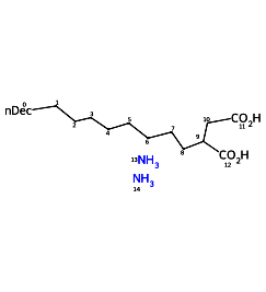 CCCCCCCCCCCCCCCCCCC(CC(=O)O)C(=O)O.N.N